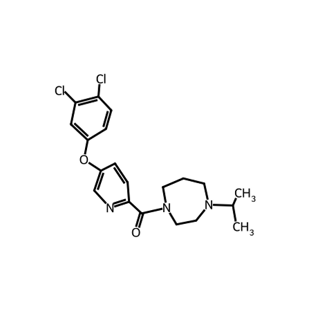 CC(C)N1CCCN(C(=O)c2ccc(Oc3ccc(Cl)c(Cl)c3)cn2)CC1